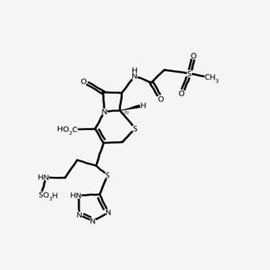 CS(=O)(=O)CC(=O)NC1C(=O)N2C(C(=O)O)=C(C(CCNS(=O)(=O)O)Sc3nnn[nH]3)CS[C@@H]12